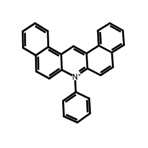 c1ccc(-[n+]2c3ccc4ccccc4c3cc3c4ccccc4ccc32)cc1